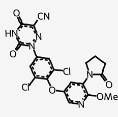 COc1ncc(Oc2c(Cl)cc(-n3nc(C#N)c(=O)[nH]c3=O)cc2Cl)cc1N1CCCC1=O